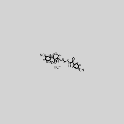 Cl.N#Cc1ccc(C(=O)NCCCCN2CCC[C@H]3c4cc(C#N)ccc4OC[C@@H]32)cc1